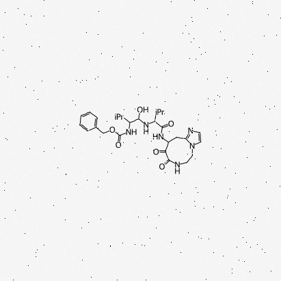 CC(C)C(NC(O)C(NC(=O)OCc1ccccc1)C(C)C)C(=O)NC1Cc2nccn2CCNC(=O)C1=O